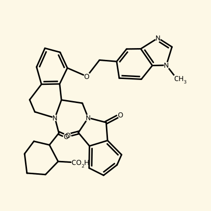 Cn1cnc2cc(COc3cccc4c3C(CN3C(=O)c5ccccc5C3=O)N(C(=O)C3CCCCC3C(=O)O)CC4)ccc21